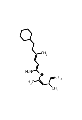 C=CN(C)/C=C(/C)N/C(N)=C/C=C(\C)CCC1CCCCC1